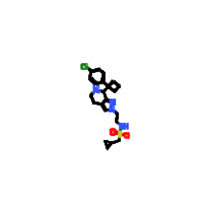 O=S(=O)(CC1CC1)NCCn1cc2c(n1)C(C1(c3ccc(Cl)cc3)CCC1)NCC2